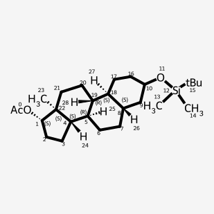 CC(=O)O[C@H]1CC[C@H]2[C@@H]3CC[C@H]4CC(O[Si](C)(C)C(C)(C)C)CC[C@@H]4[C@H]3CC[C@]12C